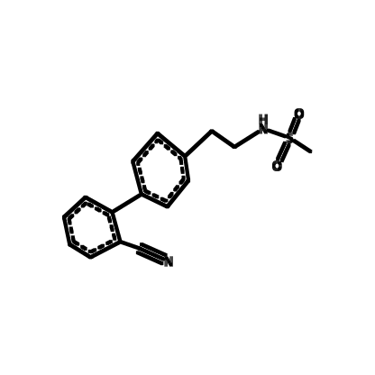 CS(=O)(=O)NCCc1ccc(-c2ccccc2C#N)cc1